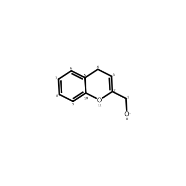 [O]CC1=CCc2ccccc2O1